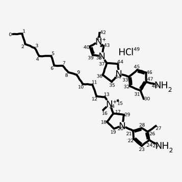 CCCCCCCCCCCCCC[N+](C)(C)C1CCN(c2ccc(N)c(C)c2)C1.Cc1cc(N2CCC(n3cc[n+](C)c3)C2)ccc1N.Cl